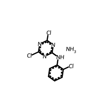 Clc1nc(Cl)nc(Nc2ccccc2Cl)n1.N